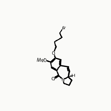 COc1cc2c(cc1OCCCCBr)C=C[C@@H]1CCCN1C2=O